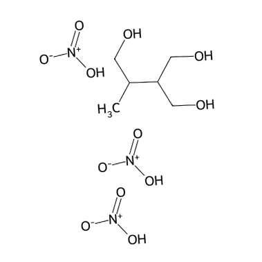 CC(CO)C(CO)CO.O=[N+]([O-])O.O=[N+]([O-])O.O=[N+]([O-])O